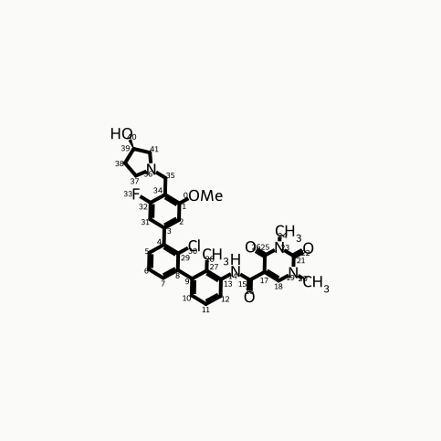 COc1cc(-c2cccc(-c3cccc(NC(=O)c4cn(C)c(=O)n(C)c4=O)c3C)c2Cl)cc(F)c1CN1CC[C@@H](O)C1